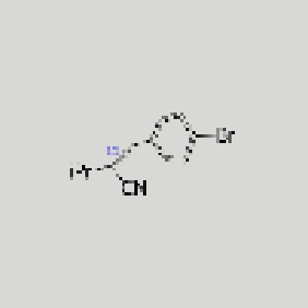 CC(C)/C(C#N)=C/c1ccc(Br)cc1